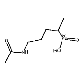 CC(=O)NCCCC(C)[PH](=O)O